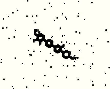 BCc1ccc(-c2ccc(-c3ccc(C4CCC(CCC)OC4)c(F)c3)cc2)c(F)c1F